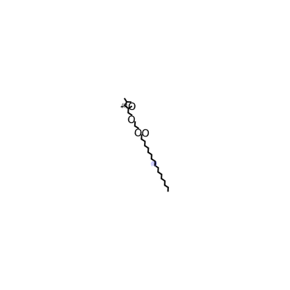 CCCCCCCC/C=C/CCCCCCCC(=O)OCCCOCCC1OCC(C)[C@@H]1C